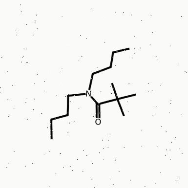 CCCCN(CCCC)C(=O)C(C)(C)C